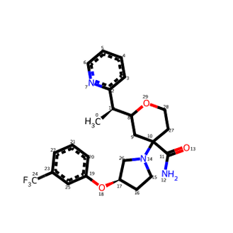 C[C@@H](c1ccccn1)C1CC(C(N)=O)(N2CC[C@@H](Oc3cccc(C(F)(F)F)c3)C2)CCO1